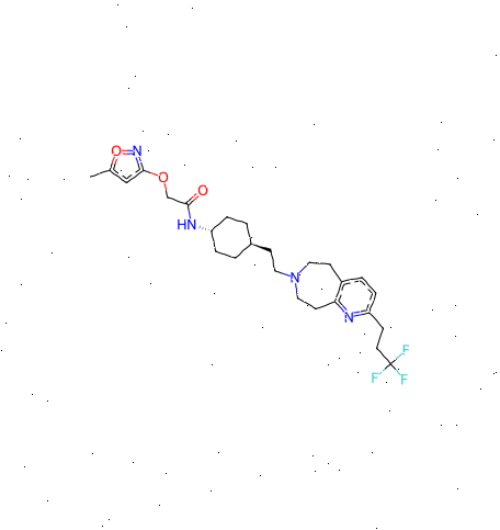 Cc1cc(OCC(=O)N[C@H]2CC[C@H](CCN3CCc4ccc(CCC(F)(F)F)nc4CC3)CC2)no1